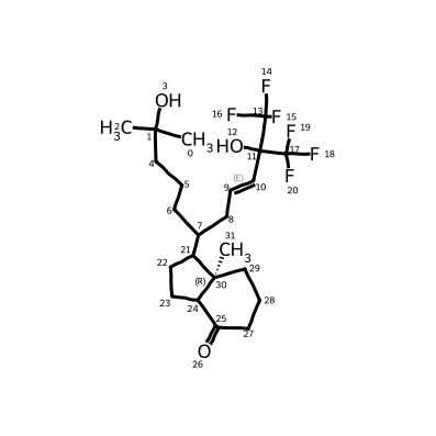 CC(C)(O)CCCC(C/C=C/C(O)(C(F)(F)F)C(F)(F)F)C1CCC2C(=O)CCC[C@@]21C